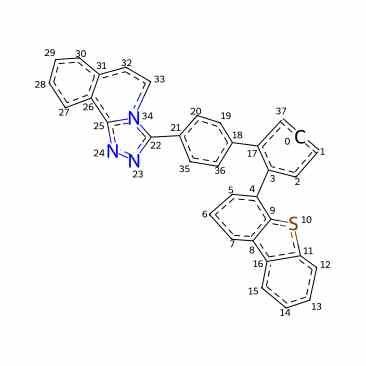 c1ccc(-c2cccc3c2sc2ccccc23)c(-c2ccc(-c3nnc4c5ccccc5ccn34)cc2)c1